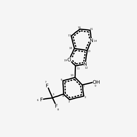 Oc1ccc(C(F)(F)F)cc1-c1nc2ncccc2o1